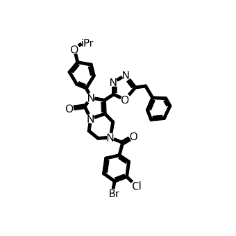 CC(C)Oc1ccc(-n2c(-c3nnc(Cc4ccccc4)o3)c3n(c2=O)CCN(C(=O)c2ccc(Br)c(Cl)c2)C3)cc1